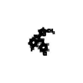 Cc1ccc(-c2nc3ccc(F)cc3n2Cc2ccc(Cl)cc2)o1